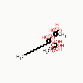 CCCCCCCCCCCCCCCc1cc(O)c(C(=O)Oc2cc(C)c(C(=O)O)c(O)c2)c(OC2OC(C(=O)OC)C(O)C(O)C2O)c1